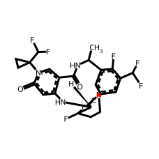 CC(NC(=O)c1cn(C2(C(F)F)CC2)c(=O)cc1N[C@H]1CN2CCC1(F)CC2)c1cccc(C(F)F)c1F